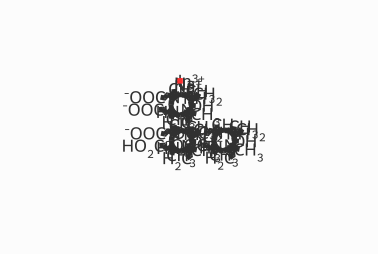 C=CC1=C(C)c2nc1cc1[nH]c(cc3nc(cc4[nH]c(c2O)c(C=C)c4C)C(C)=C3CCC(=O)[O-])c(CCC(=O)O)c1C.C=CC1=C(C)c2nc1cc1[nH]c(cc3nc(cc4[nH]c(c2O)c(C=C)c4C)C(C)=C3CCC(=O)[O-])c(CCC(=O)[O-])c1C.C=CC1=C(C)c2nc1cc1[nH]c(cc3nc(cc4[nH]c(c2O)c(C=C)c4C)C(C)=C3CCC(=O)[O-])c(CCC(=O)[O-])c1C.[In+3].[Na+].[Na+]